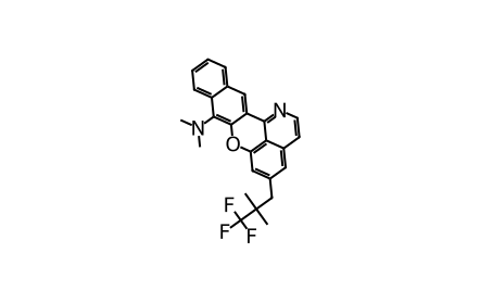 CN(C)c1c2c(cc3ccccc13)-c1nccc3cc(CC(C)(C)C(F)(F)F)cc(c13)O2